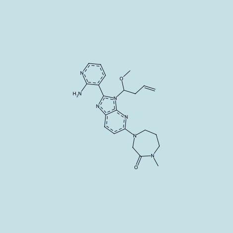 C=CCC(OC)n1c(-c2cccnc2N)nc2ccc(N3CCCN(C)C(=O)C3)nc21